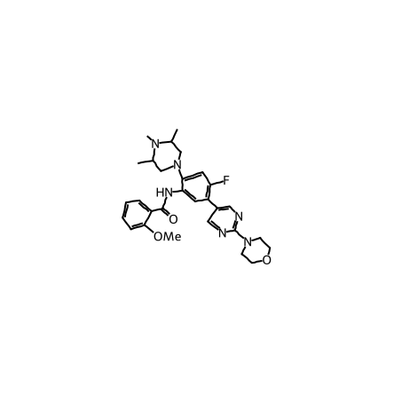 COc1ccccc1C(=O)Nc1cc(-c2cnc(N3CCOCC3)nc2)c(F)cc1N1CC(C)N(C)C(C)C1